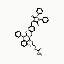 N=C(N)NCCC[C@@H](C(N)=O)N(Cc1ccc(Cn2c(=O)n(-c3ccccc3)n(-c3ccccc3)c2=O)cc1)C(=O)C(c1ccccc1)c1ccccc1